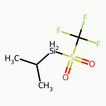 CC(C)[SiH2]S(=O)(=O)C(F)(F)F